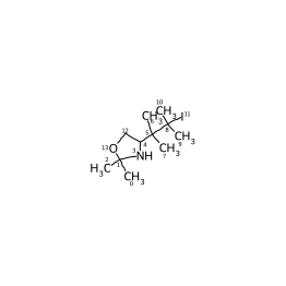 CC1(C)NC(C(C)(C)C(C)(C)I)CO1